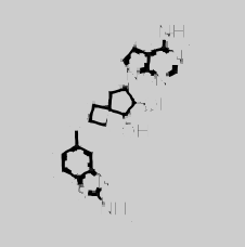 Nc1nc2cc(C[C@H]3C[C@]4(C[C@@H](n5ccc6c(N)ncnc65)[C@H](O)[C@@H]4O)C3)ccc2s1